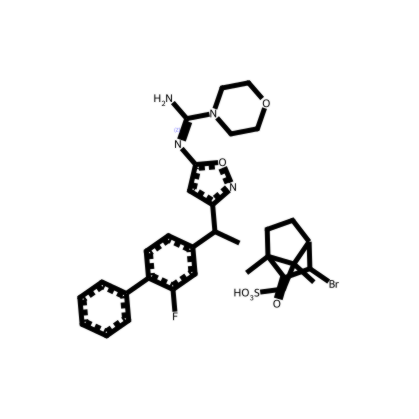 CC(c1ccc(-c2ccccc2)c(F)c1)c1cc(/N=C(/N)N2CCOCC2)on1.CC12CCC(C(Br)C1=O)C2(C)CS(=O)(=O)O